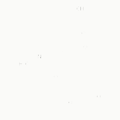 CC(=O)c1cccc2c1C1(COc3cc4c(cc31)OCCO4)C(=O)N2C